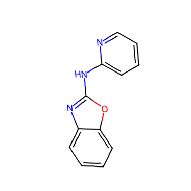 c1ccc(Nc2nc3ccccc3o2)nc1